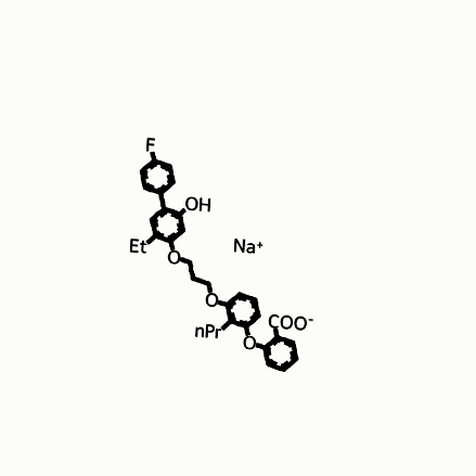 CCCc1c(OCCCOc2cc(O)c(-c3ccc(F)cc3)cc2CC)cccc1Oc1ccccc1C(=O)[O-].[Na+]